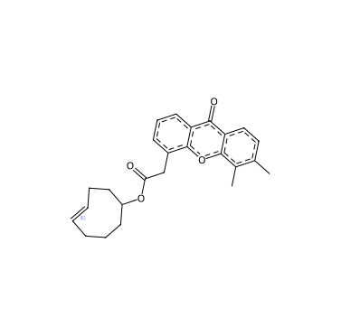 Cc1ccc2c(=O)c3cccc(CC(=O)OC4CC/C=C/CCC4)c3oc2c1C